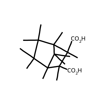 CC1(C)C(C)(C)C2(C)C(C)(C)C1(C)C(C)(C(=O)O)C2(C)C(=O)O